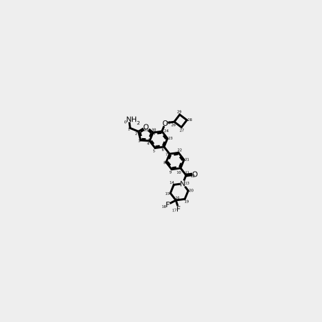 NCc1cc2cc(-c3ccc(C(=O)N4CCC(F)(F)CC4)cc3)cc(OC3CCC3)c2o1